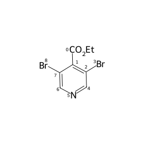 CCOC(=O)c1c(Br)cncc1Br